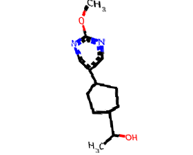 COc1ncc(C2CCC(C(C)O)CC2)cn1